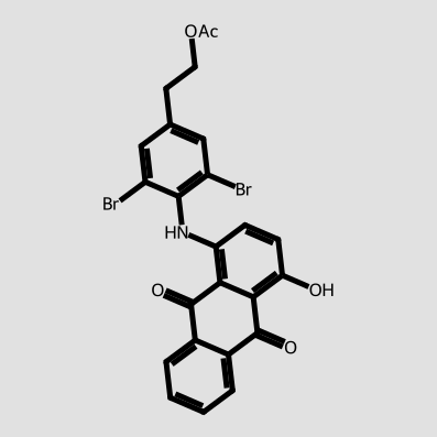 CC(=O)OCCc1cc(Br)c(Nc2ccc(O)c3c2C(=O)c2ccccc2C3=O)c(Br)c1